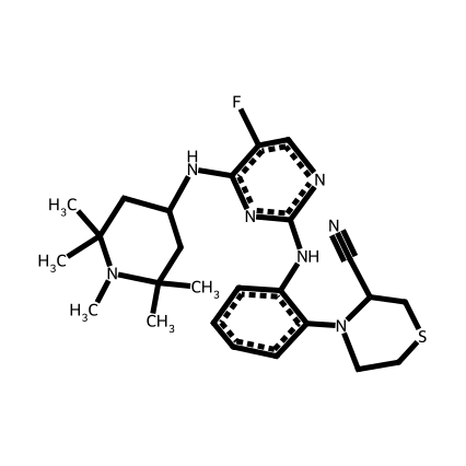 CN1C(C)(C)CC(Nc2nc(Nc3ccccc3N3CCSCC3C#N)ncc2F)CC1(C)C